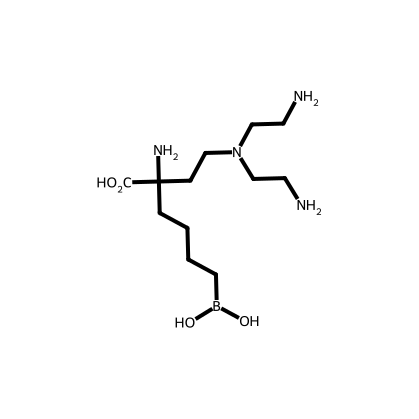 NCCN(CCN)CCC(N)(CCCCB(O)O)C(=O)O